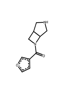 O=C(c1ccoc1)N1CC2CNCC21